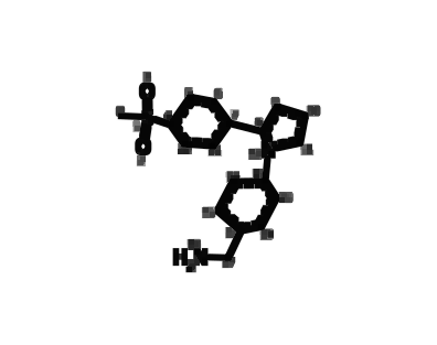 CS(=O)(=O)c1ccc(-c2cccn2-c2ccc(CN)cc2)cc1